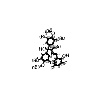 CCCCOc1c(C(C)(C)C)cc(C(O)(c2cc(C(C)(C)C)c(OCCCC)c(C(C)(C)C)c2)C(N=Cc2cc(F)cc(F)c2O)C(C)CC)cc1C(C)(C)C